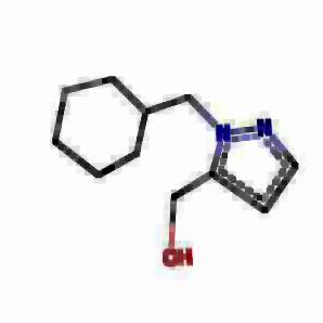 OCc1ccnn1CC1CCCCC1